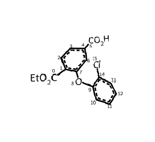 CCOC(=O)c1ccc(C(=O)O)cc1Oc1ccccc1Cl